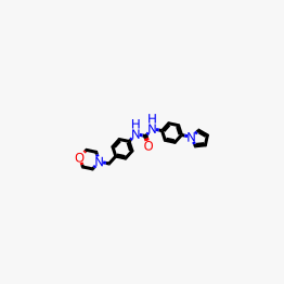 O=C(Nc1ccc(CN2CCOCC2)cc1)Nc1ccc(-n2cccc2)cc1